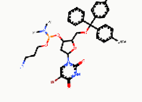 COc1ccc(C(OCC2OC(n3cc(Br)c(=O)[nH]c3=O)CC2OP(OCCCN)N(C(C)C)C(C)C)(c2ccccc2)c2ccc(OC)cc2)cc1